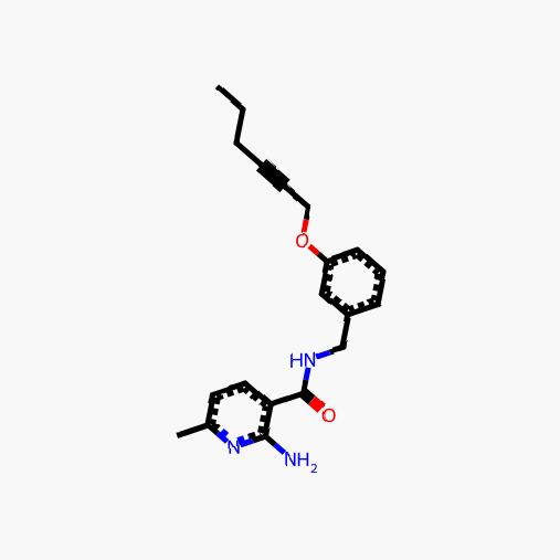 CCCC#CCOc1cccc(CNC(=O)c2ccc(C)nc2N)c1